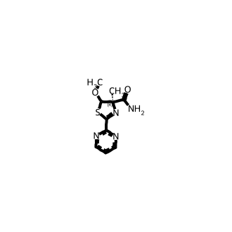 COC1SC(c2ncccn2)=N[C@]1(C)C(N)=O